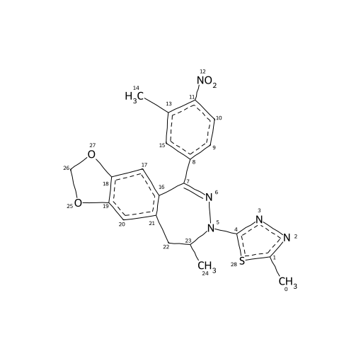 Cc1nnc(N2N=C(c3ccc([N+](=O)[O-])c(C)c3)c3cc4c(cc3CC2C)OCO4)s1